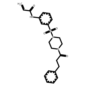 C=CC(=O)Nc1cccc(S(=O)(=O)N2CCN(C(=O)CCc3ccccc3)CC2)c1